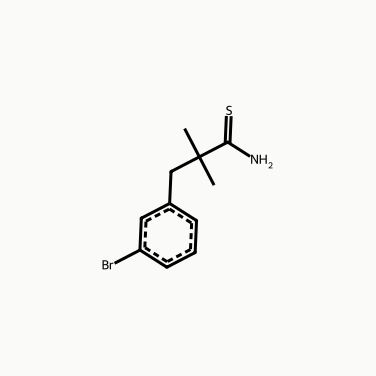 CC(C)(Cc1cccc(Br)c1)C(N)=S